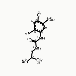 CC(C)(C)c1cc(NC(=O)NCC(O)C(C)(C)C)c(F)cc1Cl